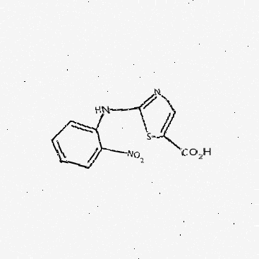 O=C(O)c1cnc(Nc2ccccc2[N+](=O)[O-])s1